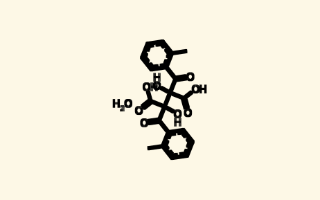 Cc1ccccc1C(=O)C(O)(C(=O)O)C(O)(C(=O)O)C(=O)c1ccccc1C.O